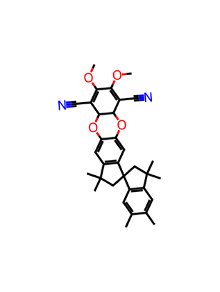 COC1=C(C#N)C2Oc3cc4c(cc3OC2C(C#N)=C1OC)C1(CC(C)(C)c2cc(C)c(C)cc21)CC4(C)C